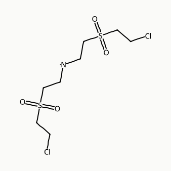 O=S(=O)(CCCl)CC[N]CCS(=O)(=O)CCCl